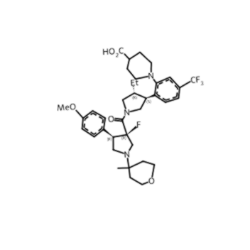 CC[C@H]1CN(C(=O)[C@]2(F)CN(C3(C)CCOCC3)C[C@H]2c2ccc(OC)cc2)C[C@@H]1c1ccc(C(F)(F)F)cc1N1CCC(C(=O)O)CC1